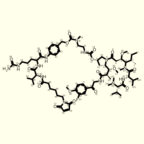 CC[C@H](C)C([C@@H](CC(=O)N1C[C@@H](OC(=O)NCCN(C)C(=O)OCc2ccc(NC(=O)C(CCCNC(N)=O)NC(=O)[C@@H](NC(=O)CCCCCN3C(=O)C=CC3=O)C(C)C)cc2)C[C@H]1[C@H](OC)[C@@H](C)C(=O)NCC(=O)c1ccc(OC)c(F)c1)OC)N(C)C(=O)[C@@H](NC(=O)[C@H](C(C)C)N(C)C)C(C)C